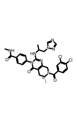 CNC(=O)c1ccc(-n2c(NC(C)Cn3cncn3)nc3c(c2=O)C[C@@H](C)N(C(=O)c2ccc(Cl)c(Cl)c2)C3)cc1